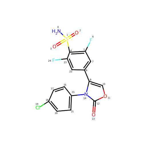 NS(=O)(=O)c1c(F)cc(-c2coc(=O)n2-c2ccc(Cl)cc2)cc1F